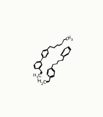 C=Cc1ccc(CCCCc2ccccc2)cc1.C=Cc1cccc(-c2ccc(CCCCCC)cc2)c1